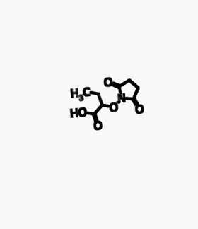 CCC(ON1C(=O)CCC1=O)C(=O)O